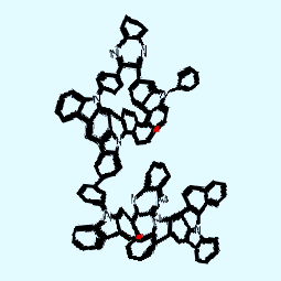 c1ccc(-n2c3ccccc3c3ccc(-c4nc5ccccc5nc4-c4ccc(-n5c6ccccc6c6cc7c8cc(-c9cccc(-n%10c%11ccccc%11c%11ccc(-c%12nc%13ccccc%13nc%12-n%12c%13ccccc%13c%13cc%14c%15ccccc%15n%15c%16c%17ccccc%17ccc%16c(c%13%12)c%14%15)cc%11%10)c9)ccc8n8c9c%10ccccc%10ccc9c(c65)c78)cc4)cc32)cc1